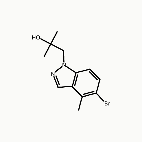 Cc1c(Br)ccc2c1cnn2CC(C)(C)O